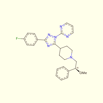 CO[C@H](CN1CCC(c2nc(-c3ccc(F)cc3)nn2-c2ncccn2)CC1)c1ccccc1